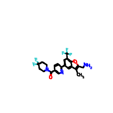 Cc1c(CN)oc2c(C(F)(F)F)cc(-c3ccc(C(=O)N4CCC(F)(F)CC4)cn3)cc12